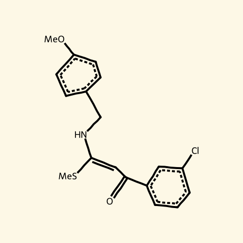 COc1ccc(CNC(=CC(=O)c2cccc(Cl)c2)SC)cc1